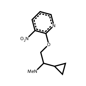 CNC(COc1ncccc1[N+](=O)[O-])C1CC1